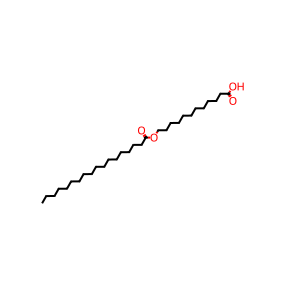 CCCCCCCCCCCCCCCCCC(=O)OCCCCCCCCCCCC(=O)O